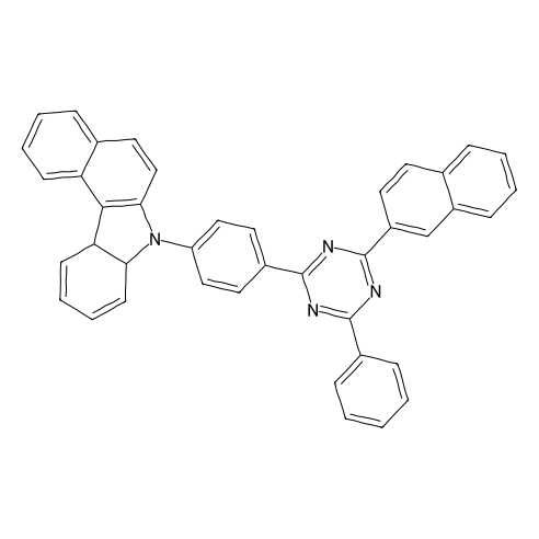 C1=CC2c3c(ccc4ccccc34)N(c3ccc(-c4nc(-c5ccccc5)nc(-c5ccc6ccccc6c5)n4)cc3)C2C=C1